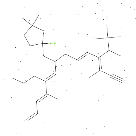 C#C/C(C)=C(/C=C/CC(/C=C(CCC)/C(C)=C/C=C)CC1(F)CCC(C)(C)C1)C(C)C(C)(C)C